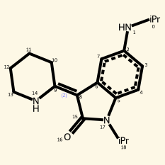 CC(C)Nc1ccc2c(c1)/C(=C1\CCCCN1)C(=O)N2C(C)C